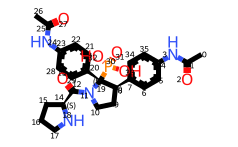 CC(=O)Nc1ccc([C@H]2CCN(C(=O)[C@@H]3CCCN3)[C@]2(c2ccc(NC(C)=O)cc2)P(=O)(O)O)cc1